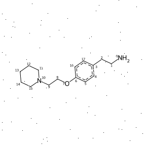 NCCc1ccc(OCCN2CCCCC2)cc1